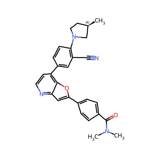 C[C@@H]1CCN(c2ccc(-c3ccnc4cc(-c5ccc(C(=O)N(C)C)cc5)oc34)cc2C#N)C1